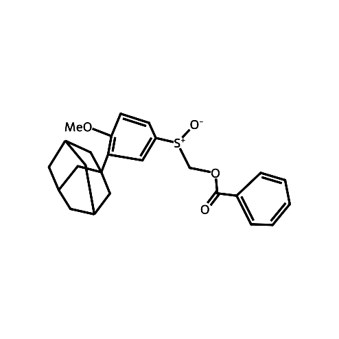 COc1ccc([S+]([O-])COC(=O)c2ccccc2)cc1C12CC3CC(CC(C3)C1)C2